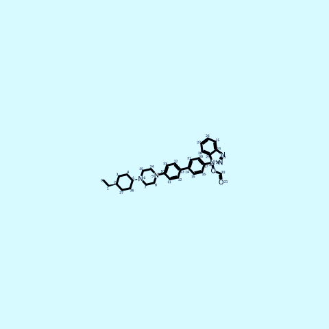 CC[C@H]1CC[C@H](N2CCN(c3ccc(-c4ccc([N+]5(OC=O)N=Nc6ccccc65)cc4)cc3)CC2)CC1